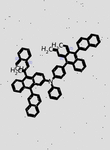 C=C/C=c1/c(-c2ccc(N(c3ccccc3)c3ccc4c(c3)=C(c3ccc5ccccc5c3)C3=CC=CCC3C=4C(=C)/C=c3/cccc/c3=C/C)cc2)c2ccccc2c(-c2ccc3ccccc3c2)/c1=C/C